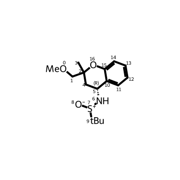 COCC1(C)C[C@@H](N[S+]([O-])C(C)(C)C)c2ccccc2O1